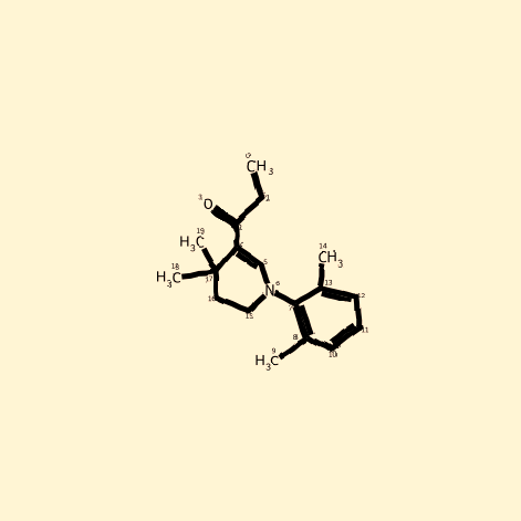 CCC(=O)C1=CN(c2c(C)cccc2C)CCC1(C)C